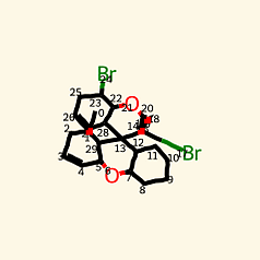 CC1CC=CC2OC3CCCCC3C3(C4=CC(Br)CC=C4OC4C(Br)CC=CC43)C12